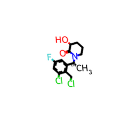 C[C@@H](c1cc(F)cc(Cl)c1CCl)N1CCCC(O)C1=O